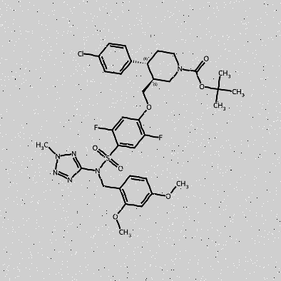 COc1ccc(CN(c2nnn(C)n2)S(=O)(=O)c2cc(F)c(OC[C@@H]3CN(C(=O)OC(C)(C)C)CC[C@H]3c3ccc(Cl)cc3)cc2F)c(OC)c1